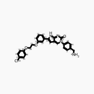 NCc1ccc(-n2cc3cc(-c4cccc(OCCOc5ccc(Cl)cc5)c4)[nH]c3nc2=O)cc1